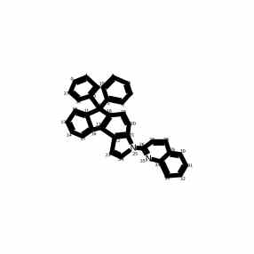 c1ccc(C2(c3ccccc3)c3ccccc3-c3c2ccc2c3ccn2-c2ccc3ccccc3n2)cc1